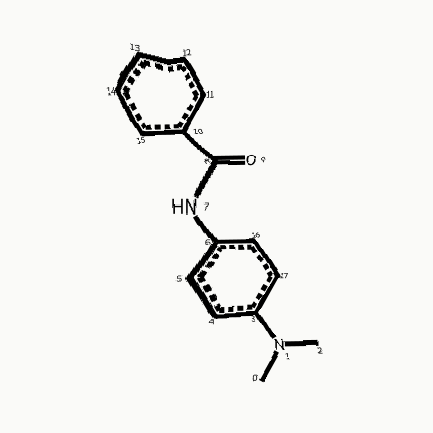 CN(C)c1ccc(NC(=O)c2ccccc2)cc1